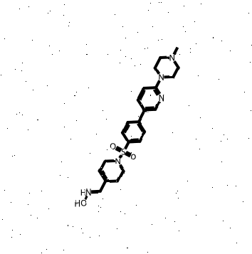 CN1CCN(c2ccc(-c3ccc(S(=O)(=O)N4CC=C(CNO)CC4)cc3)cn2)CC1